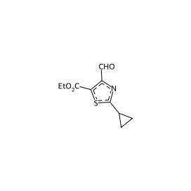 CCOC(=O)c1sc(C2CC2)nc1C=O